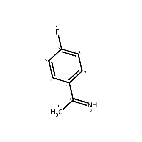 CC(=N)c1ccc(F)cc1